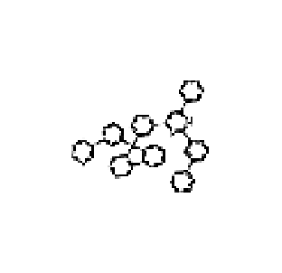 c1ccc(-c2cccc(-c3nc(-c4ccccc4)cc(-c4cccc(C5(c6cccc(-c7cccnc7)c6)c6ccccc6-c6ccccc65)c4)n3)c2)cc1